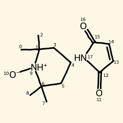 CC1(C)CCCC(C)(C)[NH+]1[O-].O=C1C=CC(=O)N1